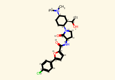 CCC(O)[C@@H]1C[C@H](N(C)C(C)C)CC[C@@H]1N1CCC(NC(=O)c2ccc(-c3ccc(Cl)cc3)o2)C1=O